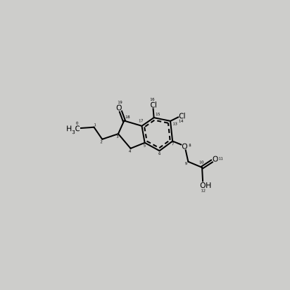 CCCC1Cc2cc(OCC(=O)O)c(Cl)c(Cl)c2C1=O